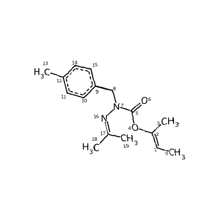 C/C=C(\C)OC(=O)N(Cc1ccc(C)cc1)N=C(C)C